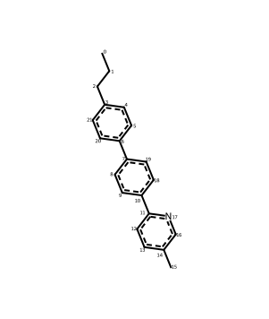 CCCc1ccc(-c2ccc(-c3ccc(C)cn3)cc2)cc1